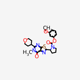 COc1cccc(OC(=O)N2CCCC2c2nc3c(=O)n(C)c(C4CCOCC4)nc3s2)c1